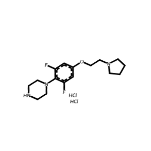 Cl.Cl.Fc1cc(OCCN2CCCC2)cc(F)c1N1CCNCC1